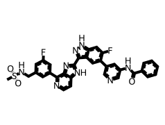 CS(=O)(=O)NCc1cc(F)cc(-c2nccc3[nH]c(-c4n[nH]c5cc(F)c(-c6cncc(NC(=O)c7ccccc7)c6)cc45)nc23)c1